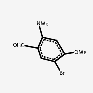 CNc1cc(OC)c(Br)cc1C=O